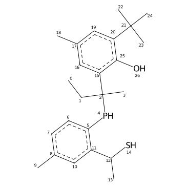 CCC(C)(Pc1ccc(C)cc1C(C)S)c1cc(C)cc(C(C)(C)C)c1O